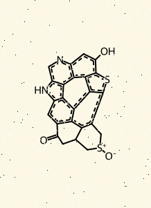 O=C1CC2C[S+]([O-])Cc3c2c2c1cc1[nH]c4cnc5cc(O)c6sc3c3c6c5c4c1c23